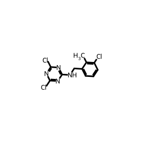 Cc1c(Cl)cccc1CNc1nc(Cl)nc(Cl)n1